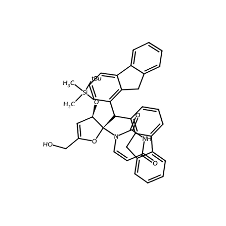 CC(C)(C)[Si](C)(C)O[C@@H]1C=C(CO)O[C@@]1(C(c1cccc2c1Cc1ccccc1-2)c1cccc2c1Cc1ccccc1-2)n1ccc(=O)[nH]c1=O